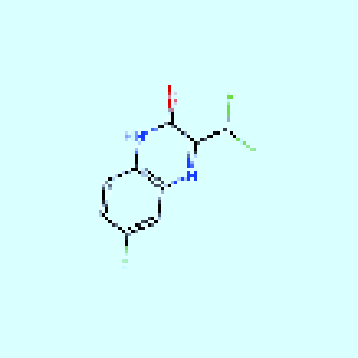 O=c1[nH]c2ccc(F)cc2nc1C(F)F